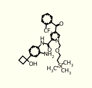 C[Si](C)(C)CCOCn1cc(C(=O)c2ccccc2C(F)(F)F)cc1C(=O)Nc1ccc(C2(O)CCC2)cc1N